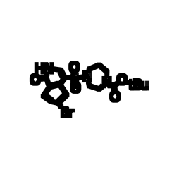 CC(C)(C)OC(=O)N1CCCN(S(=O)(=O)c2c[nH]c(=O)c3ccc(Br)cc23)CC1